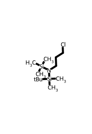 CC(C)(C)[Si](C)(C)N(CCCCl)[Si](C)(C)C